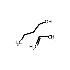 C=CC.CCCCO